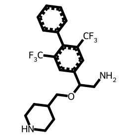 NCC(OCC1CCNCC1)c1cc(C(F)(F)F)c(-c2ccccc2)c(C(F)(F)F)c1